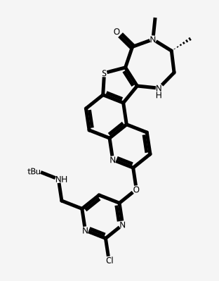 C[C@@H]1CNc2c(sc3ccc4nc(Oc5cc(CNC(C)(C)C)nc(Cl)n5)ccc4c23)C(=O)N1C